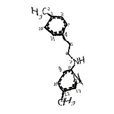 Cc1ccc(CCNc2ccc(C)cn2)cc1